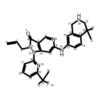 C=CCn1c(=O)c2cnc(Nc3ccc4c(c3)CNCC4(C)C)cc2n1-c1cccc(C(C)(C)F)n1